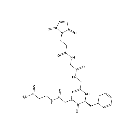 NC(=O)CCNC(=O)CNC(=O)[C@H](CC1C=CC=CC1)NC(=O)CNC(=O)CNC(=O)CCN1C(=O)C=CC1=O